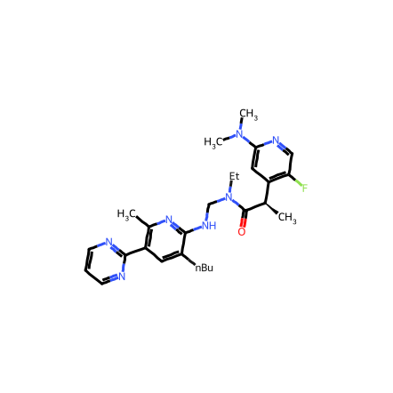 CCCCc1cc(-c2ncccn2)c(C)nc1NCN(CC)C(=O)[C@H](C)c1cc(N(C)C)ncc1F